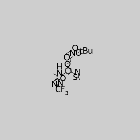 Cc1cnc(-c2cc(OCC3CN(C(=O)OC(C)(C)C)CCO3)cc(C(=O)N[C@H](C)c3cnc(C(F)(F)F)nc3)c2)s1